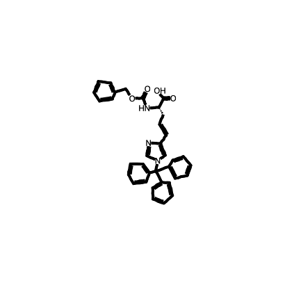 O=C(N[C@@H](C/C=C/c1cn(C(c2ccccc2)(c2ccccc2)c2ccccc2)cn1)C(=O)O)OCc1ccccc1